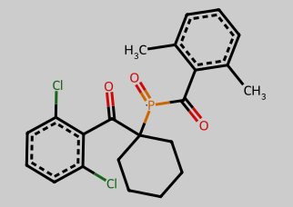 Cc1cccc(C)c1C(=O)[P](=O)C1(C(=O)c2c(Cl)cccc2Cl)CCCCC1